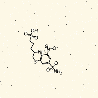 NS(=O)(=O)c1cc2c(c([N+](=O)[O-])c1)NC(CCCS(=O)(=O)O)CS2